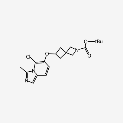 Cc1ncc2ccc(OC3CC4(C3)CN(C(=O)OC(C)(C)C)C4)c(Cl)n12